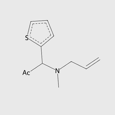 C=CCN(C)C(C(C)=O)c1cccs1